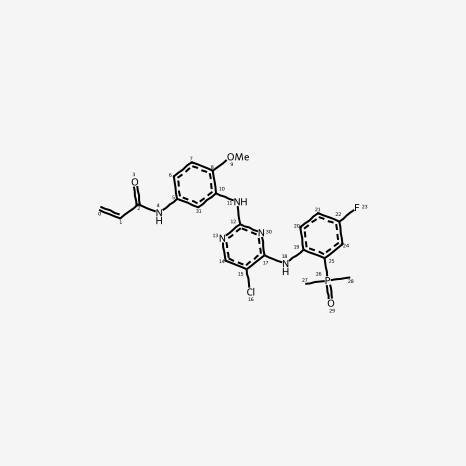 C=CC(=O)Nc1ccc(OC)c(Nc2ncc(Cl)c(Nc3ccc(F)cc3P(C)(C)=O)n2)c1